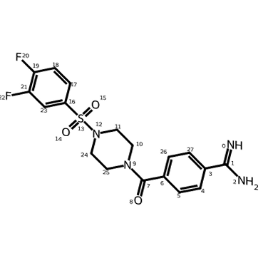 N=C(N)c1ccc(C(=O)N2CCN(S(=O)(=O)c3ccc(F)c(F)c3)CC2)cc1